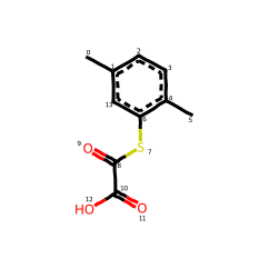 Cc1ccc(C)c(SC(=O)C(=O)O)c1